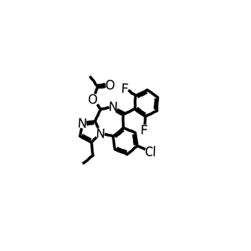 CCc1cnc2n1-c1ccc(Cl)cc1C(c1c(F)cccc1F)=NC2OC(C)=O